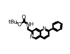 CC(C)(C)OC(=O)NCc1cc2nc(-c3ccccc3)ccc2cn1